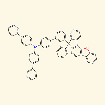 c1ccc(-c2ccc(N(c3ccc(-c4ccccc4)cc3)c3ccc(-c4cccc5c4-c4ccccc4C54c5ccccc5-c5c4ccc4c5oc5ccccc54)cc3)cc2)cc1